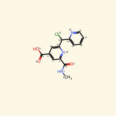 CNC(=O)c1cc(C(=O)O)cc(C(Cl)c2ccccn2)n1